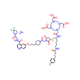 C/N=C/[C@H]1CC(F)(F)CN1C(=O)CNC(=O)c1ccnc2ccc(OCCCC3CCN(C(=O)CN4C(=O)CC(SCC(CCCCNC(=O)CCCc5ccc(I)cc5)NC(=O)CN5CCN(CC(=O)O)CCN(CC(=O)O)CCN(CC(=O)O)CC5)C4=O)CC3)cc12